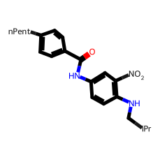 CCCCCc1ccc(C(=O)Nc2ccc(NCC(C)C)c([N+](=O)[O-])c2)cc1